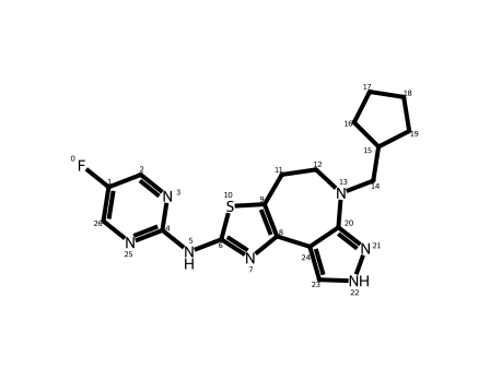 Fc1cnc(Nc2nc3c(s2)CCN(CC2CCCC2)c2n[nH]cc2-3)nc1